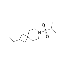 CCC1CC2(CCN(S(=O)(=O)C(C)C)CC2)C1